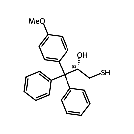 COc1ccc(C(c2ccccc2)(c2ccccc2)[C@H](O)CS)cc1